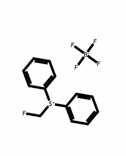 FC[S+](c1ccccc1)c1ccccc1.F[B-](F)(F)F